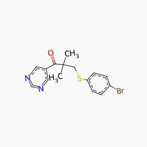 CC(C)(CSc1ccc(Br)cc1)C(=O)c1cncnc1